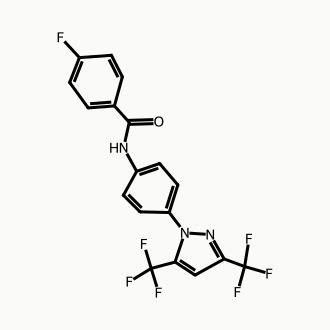 O=C(Nc1ccc(-n2nc(C(F)(F)F)cc2C(F)(F)F)cc1)c1ccc(F)cc1